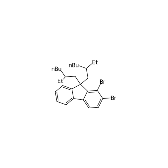 CCCCC(CC)CC1(CC(CC)CCCC)c2ccccc2-c2ccc(Br)c(Br)c21